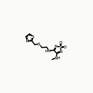 CNC1=NS(=O)(=O)N=C1NCCSCc1nccs1